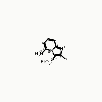 CCOC(=O)c1c(C)nc2cccc(N)n12